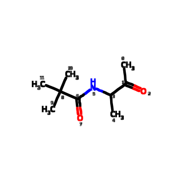 CC(=O)C(C)NC(=O)C(C)(C)C